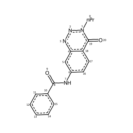 CCCn1nnc2cc(NC(=O)c3ccccc3)ccc2c1=O